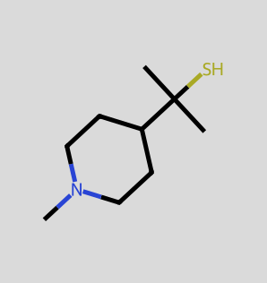 CN1CCC(C(C)(C)S)CC1